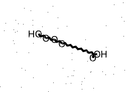 O=C(O)CCCCCCCCCCCOCCOCCOCCO